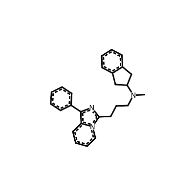 CN(CCCc1nc(-c2ccccc2)c2ccccn12)C1Cc2ccccc2C1